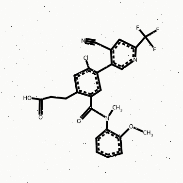 COc1ccccc1N(C)C(=O)c1cc(-c2cnc(C(F)(F)F)cc2C#N)c(Cl)cc1CCC(=O)O